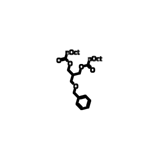 CCCCCCCCC(=O)OCC(COCc1ccccc1)COC(=O)CCCCCCCC